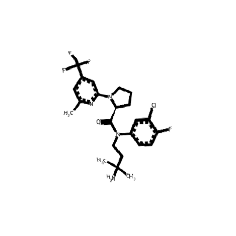 Cc1cc(C(F)(F)F)cc(N2CCC[C@H]2C(=O)N(CCC(C)(C)N)c2ccc(F)c(Cl)c2)n1